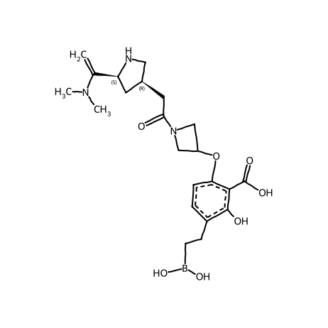 C=C([C@@H]1C[C@H](CC(=O)N2CC(Oc3ccc(CCB(O)O)c(O)c3C(=O)O)C2)CN1)N(C)C